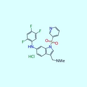 CNCc1cn(S(=O)(=O)c2cccnc2)c2cc(Nc3cc(F)c(F)cc3F)ccc12.Cl